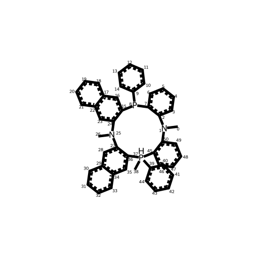 CN1c2ccccc2P(c2ccccc2)c2cc3ccccc3cc2N(C)c2cc3ccccc3cc2[PH](C)(c2ccccc2)c2ccccc21